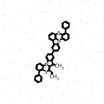 C=CC1=c2c(=C)c3cc(-c4ccc5c(c4)c4cccc6c4n5-c4cccc(-c5ccccc5)c4S6)ccc3n2-c2cccc(-c3ccccc3)c2S1